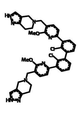 COc1nc(-c2cccc(-c3cccc(-c4ccc(CN5CCc6n[nH]cc6C5)c(OC)n4)c3Cl)c2Cl)ccc1CN1CCc2n[nH]cc2C1